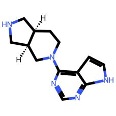 c1nc(N2CC[C@@H]3CNC[C@@H]3C2)c2cc[nH]c2n1